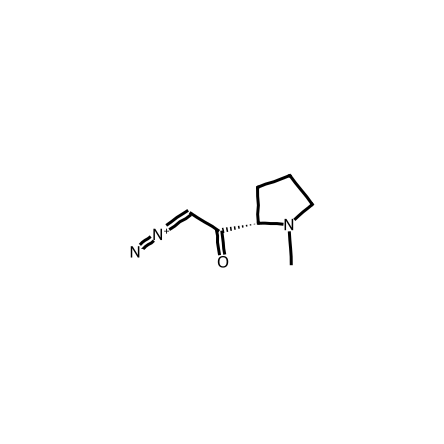 CN1CCC[C@H]1C(=O)C=[N+]=[N-]